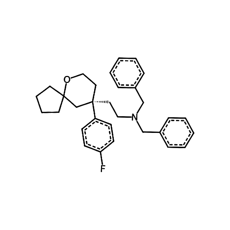 Fc1ccc([C@]2(CCN(Cc3ccccc3)Cc3ccccc3)CCOC3(CCCC3)C2)cc1